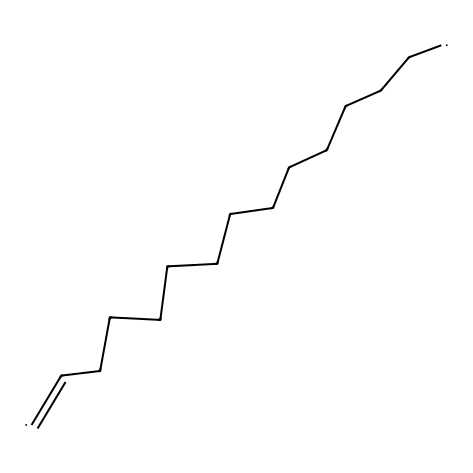 [CH]=CCCCCCCCCCCCC[CH2]